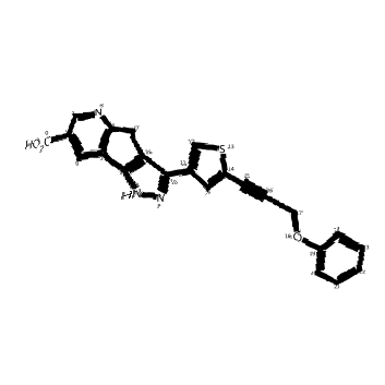 O=C(O)c1cnc2c(c1)-c1[nH]nc(-c3csc(C#CCOc4ccccc4)c3)c1C2